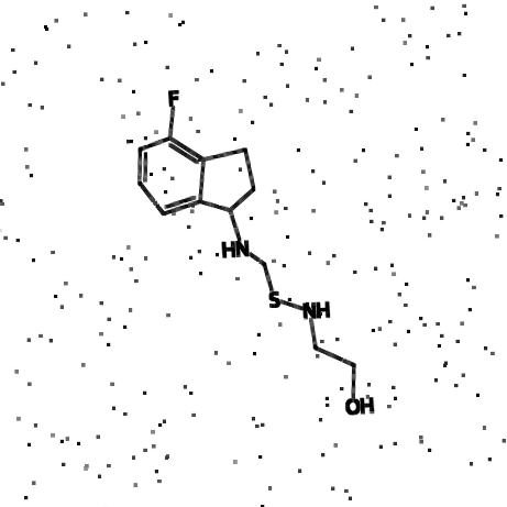 OCCNSCNC1CCc2c(F)cccc21